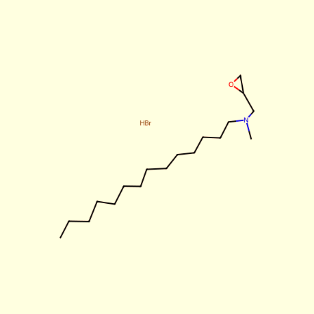 Br.CCCCCCCCCCCCCCN(C)CC1CO1